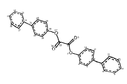 O=C(Oc1ccc(-c2ccccc2)cc1)C(=O)Oc1ccc(-c2ccccc2)cc1